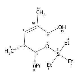 CCC[C@@H](O[Si](CC)(CC)CC)[C@H](C)/C=C(/C)CO